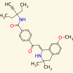 C#CC(CC)(CC)NC(=O)c1ccc(C(=O)/C=C2\NC(C)(C)Cc3ccc(OC)cc32)cc1